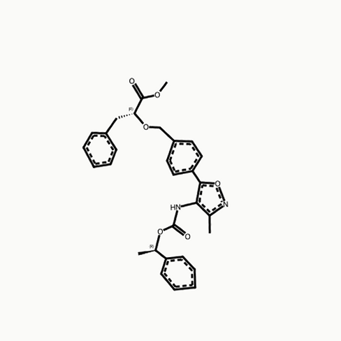 COC(=O)[C@@H](Cc1ccccc1)OCc1ccc(-c2onc(C)c2NC(=O)O[C@H](C)c2ccccc2)cc1